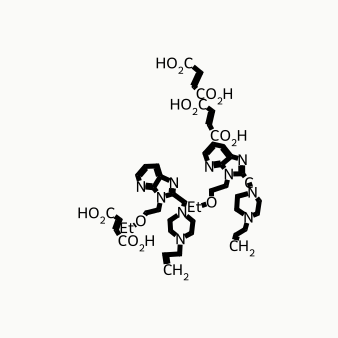 C=CCN1CCN(Cc2nc3cccnc3n2CCOCC)CC1.C=CCN1CCN(Cc2nc3cccnc3n2CCOCC)CC1.O=C(O)C=CC(=O)O.O=C(O)C=CC(=O)O.O=C(O)C=CC(=O)O